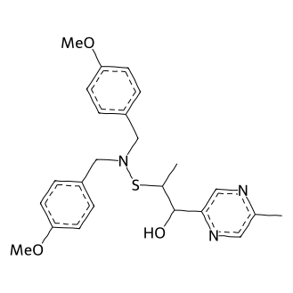 COc1ccc(CN(Cc2ccc(OC)cc2)SC(C)C(O)c2cnc(C)cn2)cc1